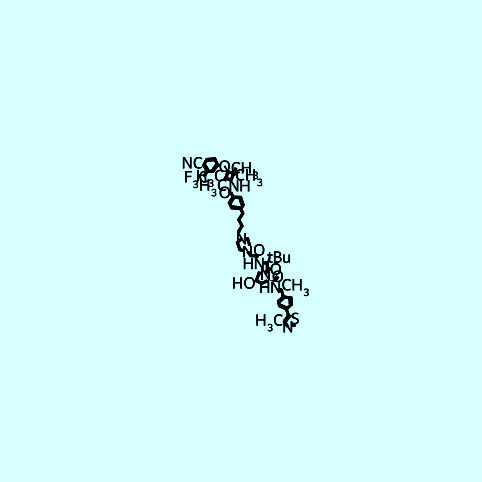 Cc1ncsc1-c1ccc(C(C)NC(=O)[C@@H]2C[C@@H](O)CN2C(=O)[C@@H](NC(=O)CN2CCN(CCCCc3ccc(C(=O)N[C@H]4C(C)(C)[C@H](Oc5ccc(C#N)c(C(F)(F)F)c5)C4(C)C)cc3)CC2)C(C)(C)C)cc1